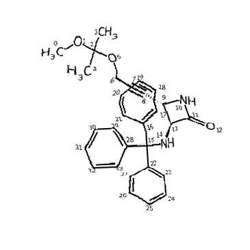 COC(C)(C)OCC#C[C@@H]1NC(=O)[C@H]1NC(c1ccccc1)(c1ccccc1)c1ccccc1